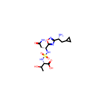 CC(O)[C@H](NS(=O)(=O)N[C@H](CC(N)=O)c1nc([C@H](N)CC2CC2)no1)C(=O)O